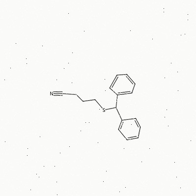 N#CCCCSC(c1ccccc1)c1ccccc1